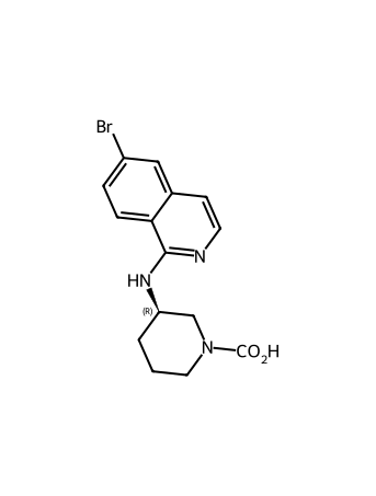 O=C(O)N1CCC[C@@H](Nc2nccc3cc(Br)ccc23)C1